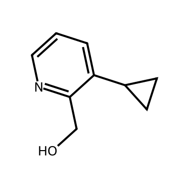 OCc1ncccc1C1CC1